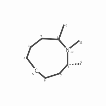 CC1CCCCCC[C@@H](C)N1C